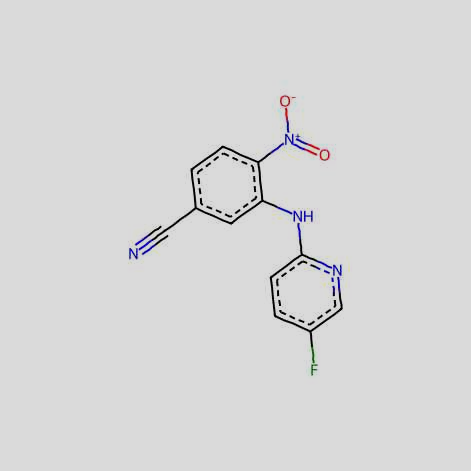 N#Cc1ccc([N+](=O)[O-])c(Nc2ccc(F)cn2)c1